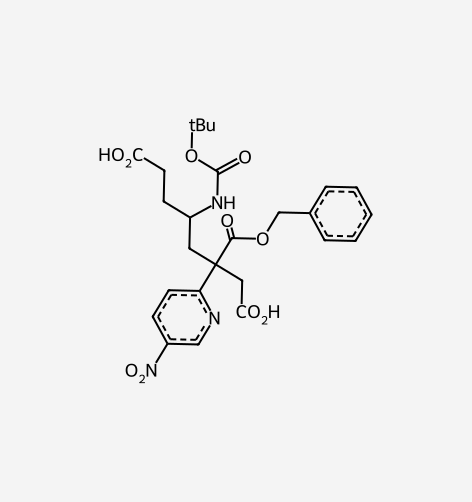 CC(C)(C)OC(=O)NC(CCC(=O)O)CC(CC(=O)O)(C(=O)OCc1ccccc1)c1ccc([N+](=O)[O-])cn1